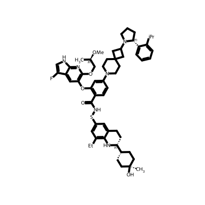 CCc1cc(SNC(=O)c2ccc(N3CCC4(CC3)CC(N3CCC[C@@H]3c3ccccc3C(C)C)C4)cc2Oc2cc3c(F)c[nH]c3nc2OC[C@@H](C)OC)cc2c1N[C@@H]([C@H]1CC[C@](C)(O)CC1)CC2